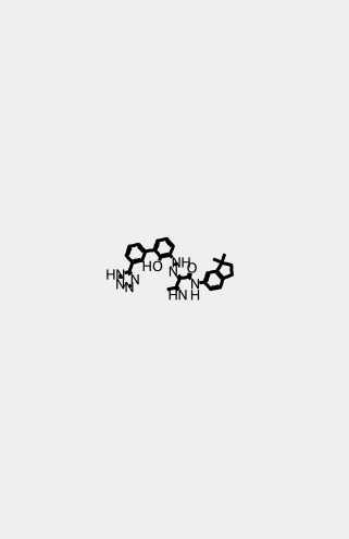 CC(=N)/C(=N/Nc1cccc(-c2cccc(-c3nnn[nH]3)c2)c1O)C(=O)Nc1ccc2c(c1)C(C)(C)CC2